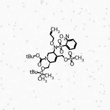 C=CCON(C1CN(C(=O)OC(C)(C)C)[C@H](CO[Si](C)(C)C(C)(C)C)C=C1COS(C)(=O)=O)S(=O)(=O)c1ccccc1[N+](=O)[O-]